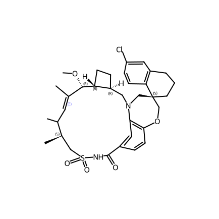 CO[C@H]1/C(C)=C/C(C)[C@H](C)CS(=O)(=O)NC(=O)c2ccc3c(c2)N(C[C@@H]2CC[C@H]21)C[C@@]1(CCCc2cc(Cl)ccc21)CO3